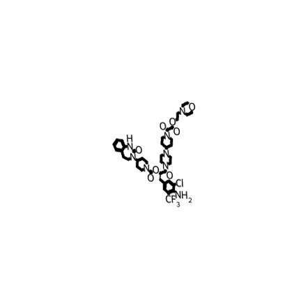 Nc1c(Cl)cc(C[C@@H](OC(=O)N2CCC(N3CCc4ccccc4NC3=O)CC2)C(=O)N2CCN(C3CCN(C(=O)C(=O)OCCN4CCOCC4)CC3)CC2)cc1C(F)(F)F